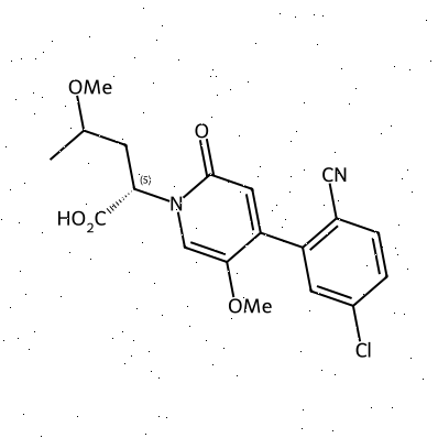 COc1cn([C@@H](CC(C)OC)C(=O)O)c(=O)cc1-c1cc(Cl)ccc1C#N